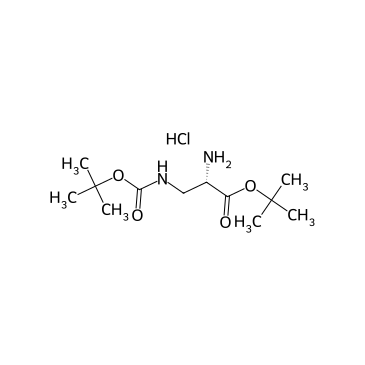 CC(C)(C)OC(=O)NC[C@H](N)C(=O)OC(C)(C)C.Cl